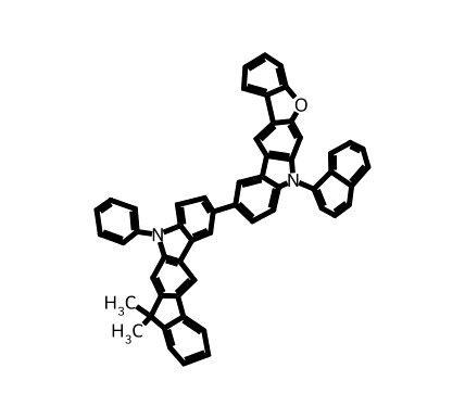 CC1(C)c2ccccc2-c2cc3c4cc(-c5ccc6c(c5)c5cc7c(cc5n6-c5cccc6ccccc56)oc5ccccc57)ccc4n(-c4ccccc4)c3cc21